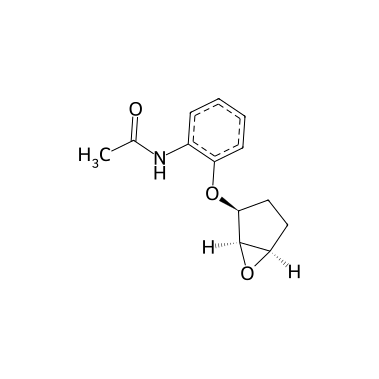 CC(=O)Nc1ccccc1O[C@H]1CC[C@H]2O[C@@H]12